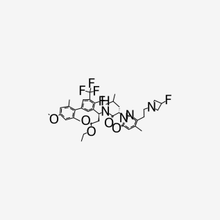 CCOC(=O)C[C@H](NC(=O)[C@H](CC(C)C)n1nc(CCN2CC(F)C2)c(C)cc1=O)c1cc(-c2c(C)cc(OC)cc2C)cc(C(F)(F)F)c1F